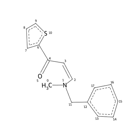 CN(/C=C\C(=O)c1cccs1)Cc1ccccc1